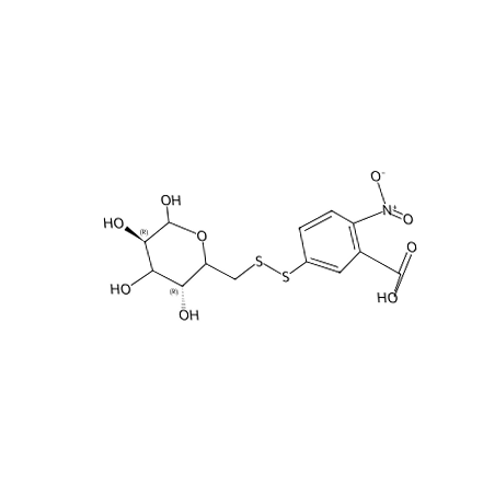 O=C(O)c1cc(SSCC2OC(O)[C@H](O)C(O)[C@H]2O)ccc1[N+](=O)[O-]